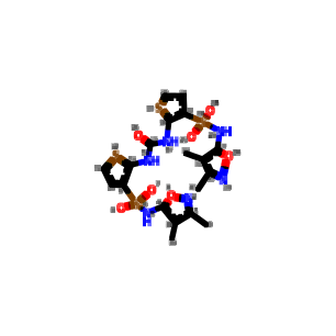 Cc1noc(NS(=O)(=O)c2ccsc2NC(=O)Nc2sccc2S(=O)(=O)Nc2onc(C)c2C)c1C